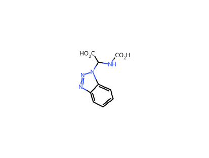 O=C(O)NC(C(=O)O)n1nnc2ccccc21